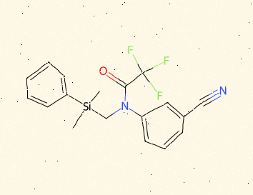 C[Si](C)(CN(C(=O)C(F)(F)F)c1cccc(C#N)c1)c1ccccc1